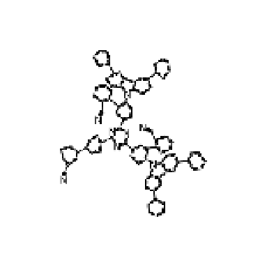 N#Cc1cccc(-c2ccc(-c3nc(-c4ccc(-n5c6ccc(-c7ccccc7)cc6c6cc(-c7ccccc7)ccc65)c(-c5ccccc5C#N)c4)nc(-c4ccc(-n5c6ccc(-c7ccccc7)cc6c6cc(-c7ccccc7)ccc65)c(-c5ccccc5C#N)c4)n3)cc2)c1